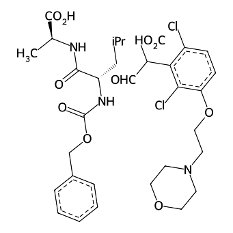 CC(C)C[C@H](NC(=O)OCc1ccccc1)C(=O)N[C@@H](C)C(=O)O.O=CC(C(=O)O)c1c(Cl)ccc(OCCN2CCOCC2)c1Cl